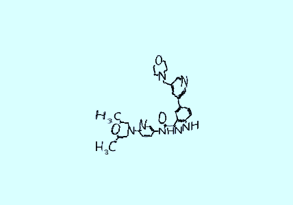 CC1CN(c2ccc(NC(=O)c3n[nH]c4ccc(-c5cncc(CN6CCOCC6)c5)cc34)cn2)CC(C)O1